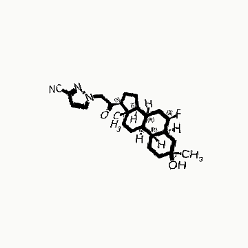 C[C@@]1(O)CC[C@@H]2[C@H]3CC[C@]4(C)[C@@H](C(=O)Cn5ccc(C#N)n5)CC[C@H]4[C@@H]3C[C@@H](F)[C@H]2C1